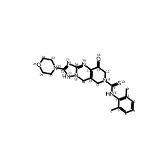 Cc1cccc(C)c1NC(=S)N1CC(=O)C2=C(C1)CN1NC(N3CCOCC3)=NC1=N2